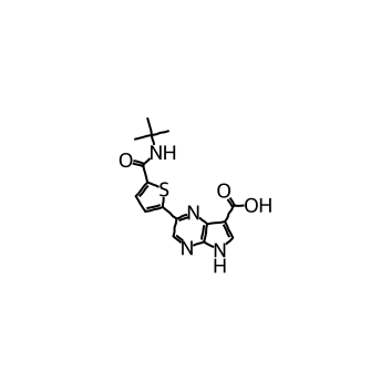 CC(C)(C)NC(=O)c1ccc(-c2cnc3[nH]cc(C(=O)O)c3n2)s1